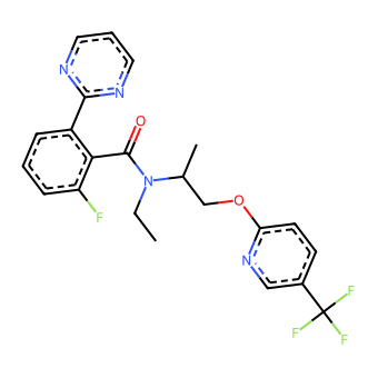 CCN(C(=O)c1c(F)cccc1-c1ncccn1)C(C)COc1ccc(C(F)(F)F)cn1